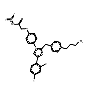 CCCCc1ccc(Cc2nc(-c3ccc(Cl)cc3Cl)cn2-c2ccc(NCC(=O)N[SH](=O)=O)cc2)cc1